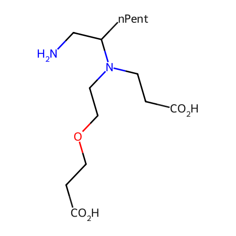 CCCCCC(CN)N(CCOCCC(=O)O)CCC(=O)O